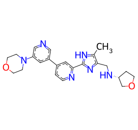 Cc1[nH]c(-c2cc(-c3cncc(N4CCOCC4)c3)ccn2)nc1CN[C@@H]1CCOC1